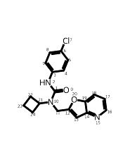 O=C(Nc1ccc(Cl)cc1)N(Cc1cc2ncccc2o1)C1CCC1